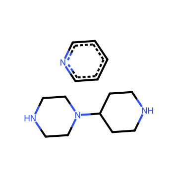 C1CC(N2CCNCC2)CCN1.c1ccncc1